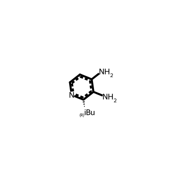 CC[C@@H](C)c1nccc(N)c1N